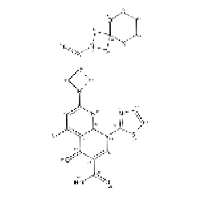 Cc1cc(N2CC(C(=O)N3CC4(CCCCO4)C3)C2)nc2c1c(=O)c(C(=O)O)cn2-c1nccs1